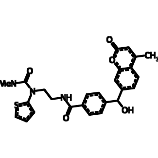 CNC(=O)N(CCNC(=O)c1ccc(C(O)c2ccc3c(C)cc(=O)oc3c2)cc1)c1cccs1